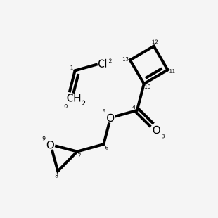 C=CCl.O=C(OCC1CO1)C1=CCC1